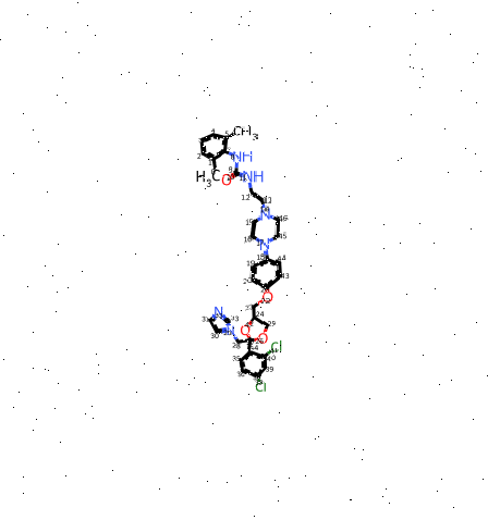 Cc1cccc(C)c1NC(=O)NCCN1CCN(c2ccc(OCC3COC(Cn4ccnc4)(c4ccc(Cl)cc4Cl)O3)cc2)CC1